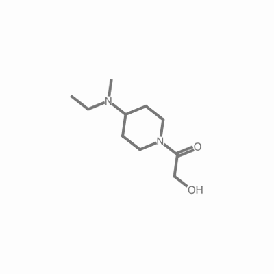 CCN(C)C1CCN(C(=O)CO)CC1